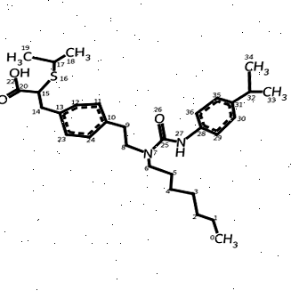 CCCCCCCN(CCc1ccc(CC(SC(C)C)C(=O)O)cc1)C(=O)Nc1ccc(C(C)C)cc1